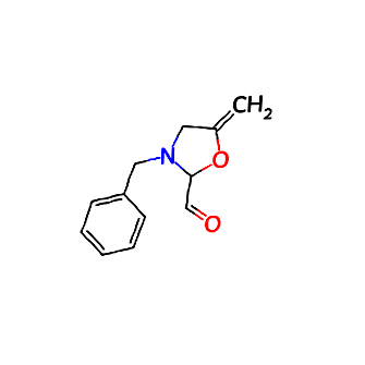 C=C1CN(Cc2ccccc2)C(C=O)O1